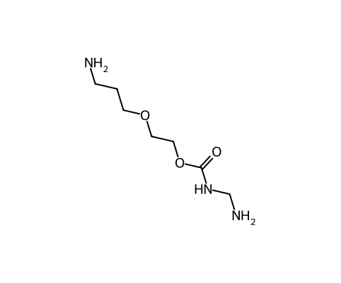 NCCCOCCOC(=O)NCN